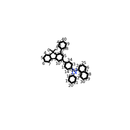 CC1(C)c2ccccc2-c2cc(-c3ccc(N(c4ccccc4)c4cccc5ccccc45)cc3)cc(-c3ccccc3)c21